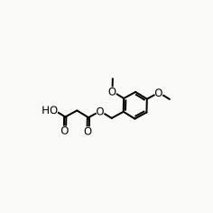 COc1ccc(COC(=O)CC(=O)O)c(OC)c1